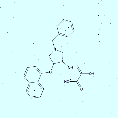 O=C(O)C(=O)O.OC1CN(Cc2ccccc2)CC1Oc1cccc2ccccc12